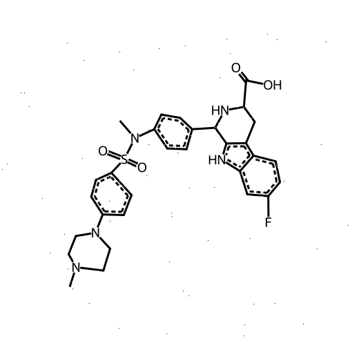 CN1CCN(c2ccc(S(=O)(=O)N(C)c3ccc(C4NC(C(=O)O)Cc5c4[nH]c4cc(F)ccc54)cc3)cc2)CC1